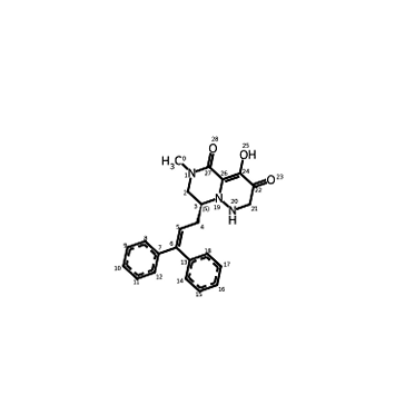 CN1C[C@H](CC=C(c2ccccc2)c2ccccc2)N2NCC(=O)C(O)=C2C1=O